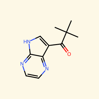 CC(C)(C)C(=O)c1c[nH]c2nccnc12